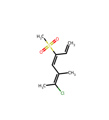 C=C/C(=C\C(C)=C(/C)Cl)S(C)(=O)=O